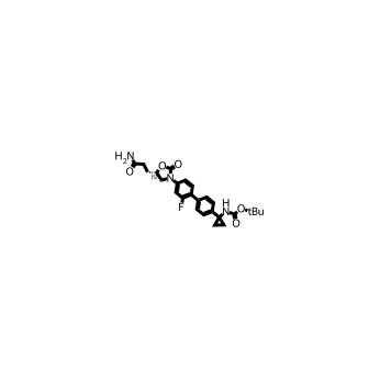 CC(C)(C)OC(=O)NC1(c2ccc(-c3ccc(N4C[C@H](CCC(N)=O)OC4=O)cc3F)cc2)CC1